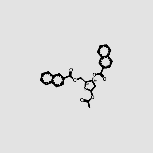 CC(=O)OC1C[C@@H](OC(=O)c2ccc3ccccc3c2)[C@H](COC(=O)c2ccc3ccccc3c2)S1